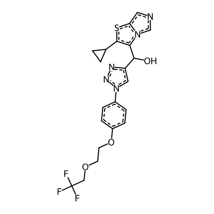 OC(c1cn(-c2ccc(OCCOCC(F)(F)F)cc2)nn1)c1c(C2CC2)sc2cncn12